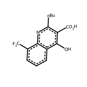 CCCCc1nc2c(C(F)(F)F)cccc2c(O)c1C(=O)O